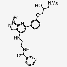 CNCC(O)COc1cccc(-c2cc(NCCNC(=O)c3cccnc3)c3cnn(C(C)C)c3n2)c1